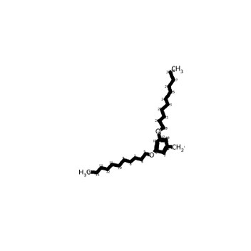 [CH2]c1cc(OCCCCCCCCCCC)cc(OCCCCCCCCCCC)c1